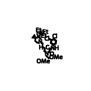 CC[Si](CC)(CC)O[C@@H]1CN(CCCCN(CC(OC)OC)C(=O)[C@H](C)Nc2ccc(Cl)c(Cl)c2)CCC12CC2